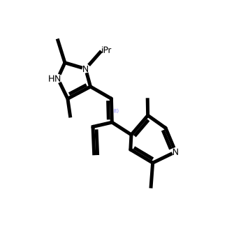 C=C/C(=C\C1=C(C)NC(C)N1C(C)C)c1cc(C)ncc1C